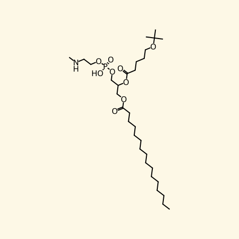 CCCCCCCCCCCCCCCC(=O)OCC(COP(=O)(O)OCCNC)OC(=O)CCCCOC(C)(C)C